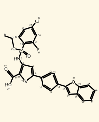 CCOP(=O)(Nc1cc(-c2ccc(-c3cc4ccccc4o3)cc2)sc1C(=O)O)c1ccc(Cl)cc1F